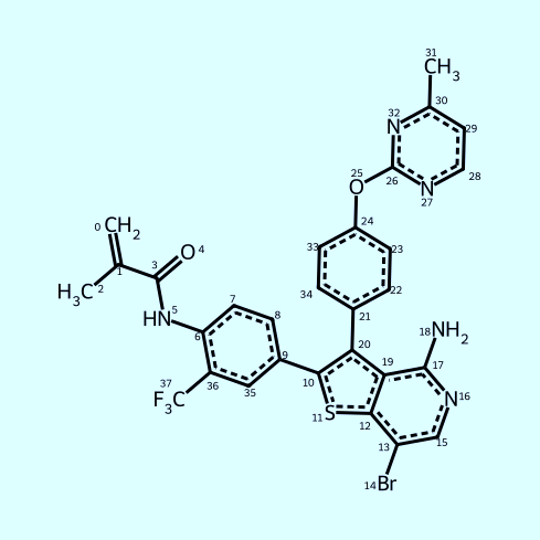 C=C(C)C(=O)Nc1ccc(-c2sc3c(Br)cnc(N)c3c2-c2ccc(Oc3nccc(C)n3)cc2)cc1C(F)(F)F